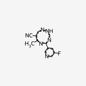 Cc1nc(-c2cncc(F)c2)nc[nH]ncc1C#N